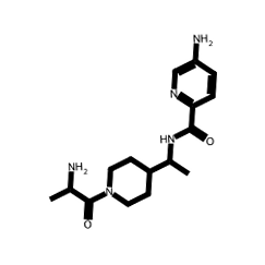 CC(N)C(=O)N1CCC(C(C)NC(=O)c2ccc(N)cn2)CC1